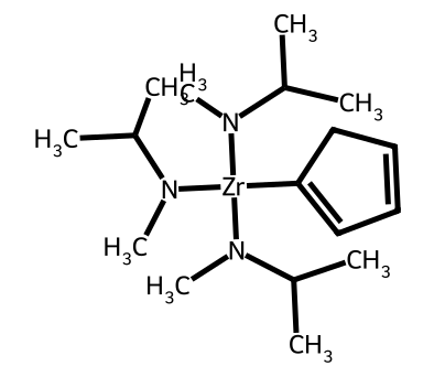 CC(C)[N](C)[Zr]([C]1=CC=CC1)([N](C)C(C)C)[N](C)C(C)C